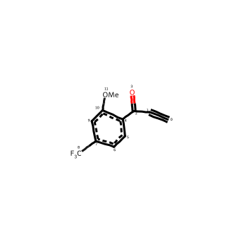 C#CC(=O)c1ccc(C(F)(F)F)cc1OC